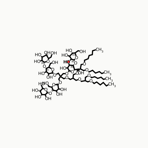 CCCCCCOCC(COCCCCCC)COCC(COCC(COCCCCCC)COCCCCCC)COCC(CO[C@@H]1OC(CO)[C@@H](O[C@H]2OC(CO)[C@@H](O)C(O)C2O)C(O)C1O)(CO[C@@H]1OC(CO)[C@@H](O[C@H]2OC(CO)[C@@H](O)C(O)C2O)C(O)C1O)CO[C@@H]1OC(CO)[C@H](O[C@H]2OC(CO)[C@@H](O)C(O)C2O)C(O)C1O